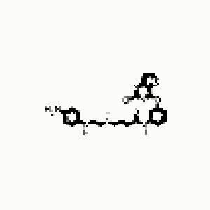 Nc1ccc(NCCNCC=CC(=O)Nc2cccc(Oc3nc(Cl)nc4ccsc34)c2)cc1